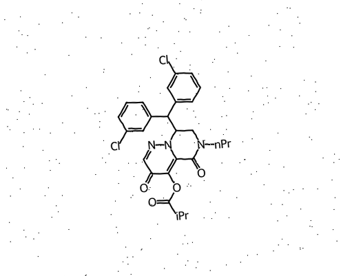 CCCN1CC(C(c2cccc(Cl)c2)c2cccc(Cl)c2)n2ncc(=O)c(OC(=O)C(C)C)c2C1=O